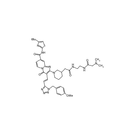 COc1ccc(Cn2nnnc2C=Cc2c(N3CCCC(CC(=O)NCCNC(=O)CN(C)C)C3)nc3cc(C(=O)Nc4nc(C(C)(C)C)cs4)ccn3c2=O)cc1